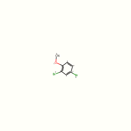 N#COc1ccc(Br)cc1Br